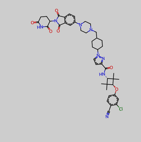 CC1(C)[C@H](NC(=O)c2ccn(C3CCC(CN4CCN(c5ccc6c(c5)C(=O)N(C5CCC(=O)NC5=O)C6=O)CC4)CC3)n2)C(C)(C)[C@H]1Oc1ccc(C#N)c(Cl)c1